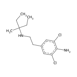 CCC(C)(CC)NCCc1cc(Cl)c(N)c(Cl)c1